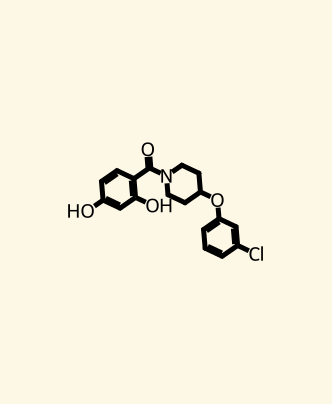 O=C(c1ccc(O)cc1O)N1CCC(Oc2cccc(Cl)c2)CC1